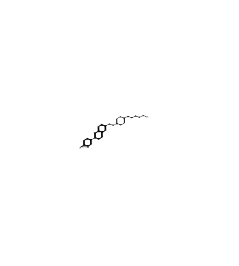 CCCCCCCC1CCC(CCc2ccc3c(F)c(-c4ccc(C(F)(F)F)c(F)c4)ccc3c2)CC1